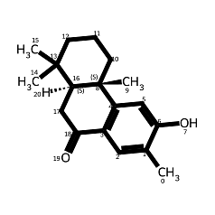 Cc1cc2c(cc1O)[C@@]1(C)CCCC(C)(C)[C@@H]1CC2=O